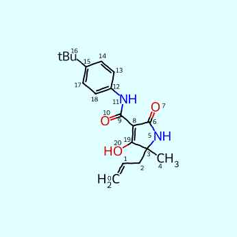 C=CCC1(C)NC(=O)C(C(=O)Nc2ccc(C(C)(C)C)cc2)=C1O